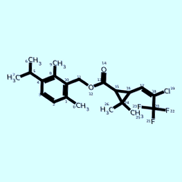 Cc1ccc(C(C)C)c(C)c1COC(=O)C1C(/C=C(/Cl)C(F)(F)F)C1(C)C